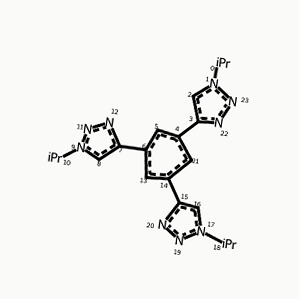 CC(C)n1cc(-c2cc(-c3cn(C(C)C)nn3)cc(-c3cn(C(C)C)nn3)c2)nn1